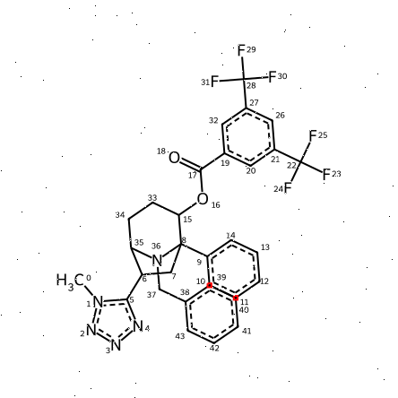 Cn1nnnc1C1CC2(c3ccccc3)C(OC(=O)c3cc(C(F)(F)F)cc(C(F)(F)F)c3)CCC1N2Cc1ccccc1